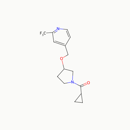 O=C(C1CC1)N1CCC(OCc2ccnc(C(F)(F)F)c2)C1